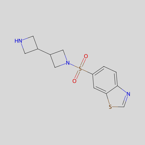 O=S(=O)(c1ccc2ncsc2c1)N1CC(C2CNC2)C1